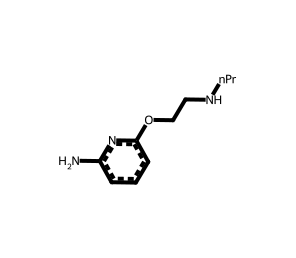 CCCNCCOc1cccc(N)n1